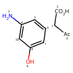 CC(=O)CC(=O)O.Nc1cccc(O)c1